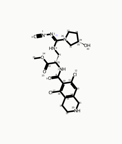 [C-]#[N+]/N=C(\NC[C@H](NC(=O)c1c(Cl)cc2c(c1Cl)CCNC2)C(=O)OC)N1CC[C@H](O)C1